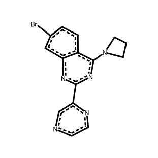 Brc1ccc2c(N3CCC3)nc(-c3cnccn3)nc2c1